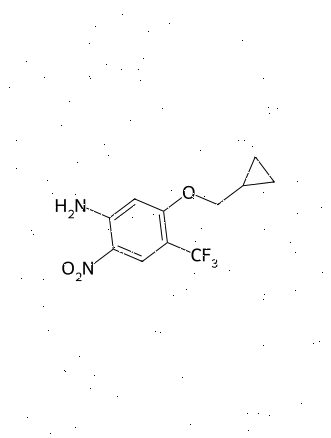 Nc1cc(OCC2CC2)c(C(F)(F)F)cc1[N+](=O)[O-]